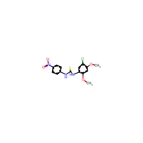 COc1cc(OC)c(NC(=S)Nc2ccc([N+](=O)[O-])cc2)cc1Cl